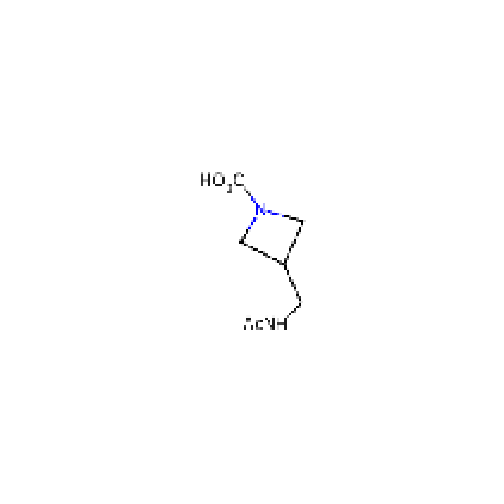 CC(=O)NCC1CN(C(=O)O)C1